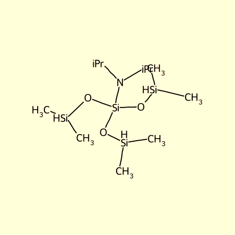 CC(C)N(C(C)C)[Si](O[SiH](C)C)(O[SiH](C)C)O[SiH](C)C